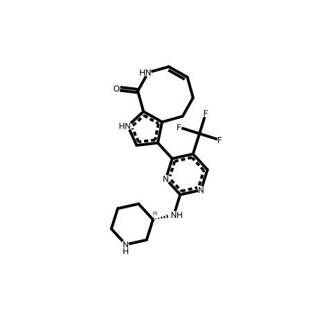 O=C1NC=CCCc2c(-c3nc(N[C@H]4CCCNC4)ncc3C(F)(F)F)c[nH]c21